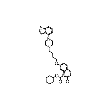 O=C(OC1CCCCC1)n1c(=O)ccc2ccc(OCCCCN3CCN(c4cccc5sccc45)CC3)cc21